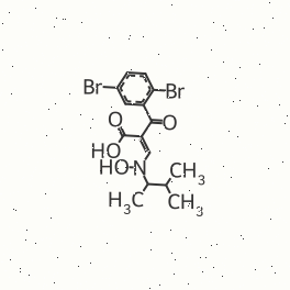 CC(C)C(C)N(O)C=C(C(=O)O)C(=O)c1cc(Br)ccc1Br